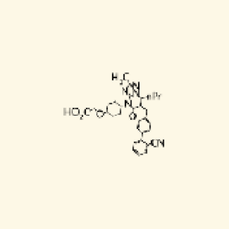 CCCc1c(Cc2ccc(-c3ccccc3C#N)cc2)c(=O)n([C@H]2CC[C@H](OCC(=O)O)CC2)c2nc(C)nn12